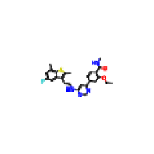 CCOc1cc(-c2cc(NCCc3c(C)sc4c(C)cc(F)cc34)ncn2)ccc1C(=O)NC